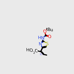 C/C=C(/C(=O)O)c1csc(NC(=O)OC(C)(C)C)n1